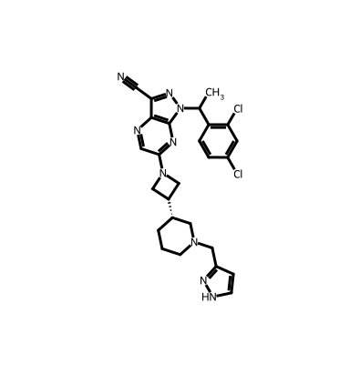 CC(c1ccc(Cl)cc1Cl)n1nc(C#N)c2ncc(N3CC([C@H]4CCCN(Cc5cc[nH]n5)C4)C3)nc21